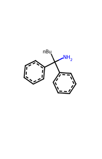 CCCCC(N)(c1ccccc1)c1ccccc1